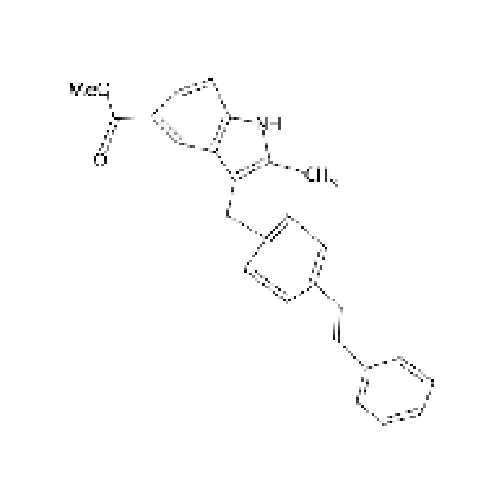 COC(=O)c1ccc2[nH]c(C)c(Cc3ccc(/C=C/c4ccccc4)cc3)c2c1